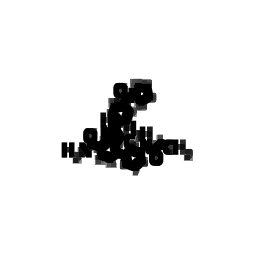 C=CC(=O)Nc1cccc(-c2ccc(C(N)=O)c3[nH]c(-c4ccc(C(=O)N5CCCC5)cc4)cc23)c1C